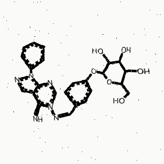 N=c1c2cnn(-c3ccccc3)c2ncn1/N=C\c1ccc(OC2OC(CO)C(O)C(O)C2O)cc1